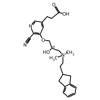 C[N+](C)(CCC1Cc2ccccc2C1)C[C@@H](O)COc1cc(CCC(=O)O)cnc1C#N